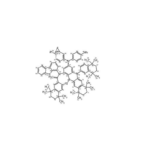 C=C1c2cc3c(cc2SB2c4cc5c(cc4N(c4ccc6c(c4)C(C)(C)CCC6(C)C)c4cc(N(C(/C=C\CC(C)C)=C/C6=CC6)c6ccc(C(C)C)cc6)cc(c42)N1c1cccc2c1sc1ccccc12)C(C)(C)CCC5(C)C)C(C)(C)CCC3(C)C